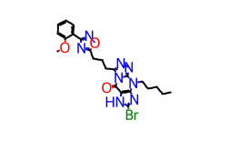 CCCCCn1c2nc(Br)[nH]c2c(=O)n2c(CCCc3nc(-c4ccccc4OC)no3)nnc12